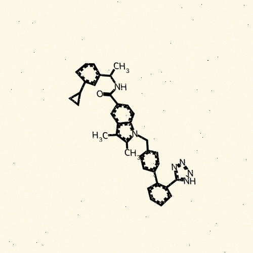 Cc1c(C)n(Cc2ccc(-c3ccccc3-c3nnn[nH]3)cc2)c2ccc(C(=O)NC(C)c3cccc(C4CC4)c3)cc12